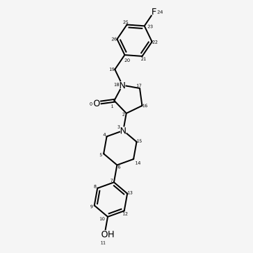 O=C1C(N2CCC(c3ccc(O)cc3)CC2)CCN1Cc1ccc(F)cc1